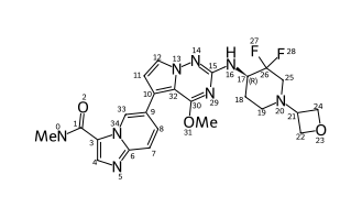 CNC(=O)c1cnc2ccc(-c3ccn4nc(N[C@@H]5CCN(C6COC6)CC5(F)F)nc(OC)c34)cn12